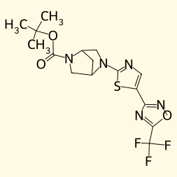 CC(C)(C)OC(=O)N1CC2CC1CN2c1ncc(-c2noc(C(F)(F)F)n2)s1